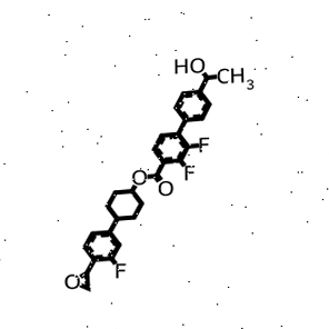 CC(O)c1ccc(-c2ccc(C(=O)OC3CCC(c4ccc(C5CO5)c(F)c4)CC3)c(F)c2F)cc1